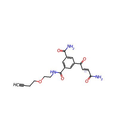 C#CCCOCCNC(=O)c1cc(C(N)=O)cc(C(=O)/C=C/C(N)=O)c1